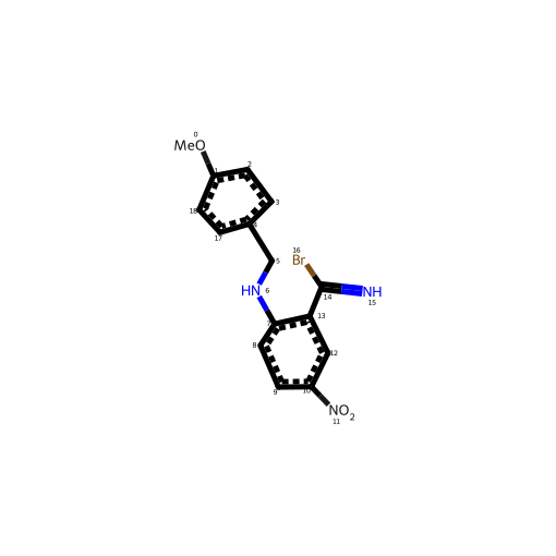 COc1ccc(CNc2ccc([N+](=O)[O-])cc2C(=N)Br)cc1